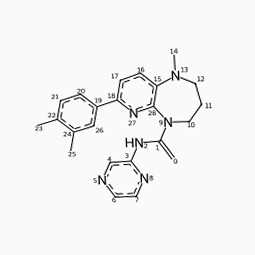 C=C(Nc1cnccn1)N1CCCN(C)c2ccc(-c3ccc(C)c(C)c3)nc21